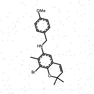 COc1ccc(CNc2cc3c(c(Br)c2C)OC(C)(C)C=C3)cc1